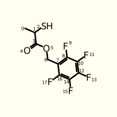 CC(S)C(=O)OCc1c(F)c(F)c(F)c(F)c1F